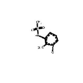 CS(=O)(=O)Nc1cccc(Cl)c1C=O